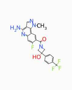 Cn1ncc2c(N)nc3cc(F)c(C(=O)N4CC(O)(c5ccc(C(F)(F)F)cc5)C4)cc3c21